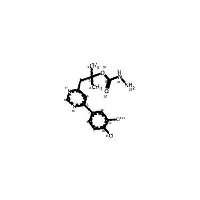 CC(C)(Cc1cc(-c2ccc(Cl)c(Cl)c2)ncn1)OC(=O)NN